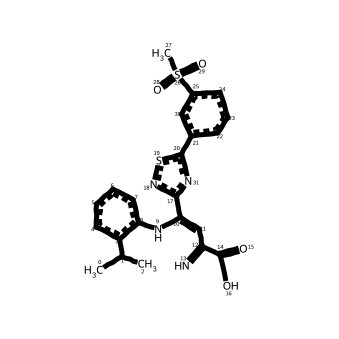 CC(C)c1ccccc1N/C(=C\C(=N)C(=O)O)c1nsc(-c2cccc(S(C)(=O)=O)c2)n1